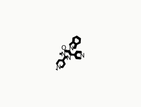 CN1CCC(c2nc(-c3ccncc3)c(N3C=C4CC=CC=C4C3)c(=O)n2C)CC1